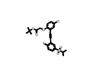 CC(C)S(=O)(=O)c1ccc(F)c(C#Cc2cc(Cl)ccc2OCC(=O)OC(C)(C)C)c1